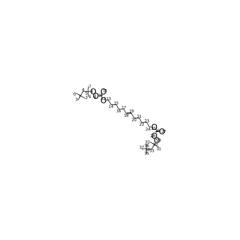 CC(C)(C)CC(C)(C)OOC(=O)OCCCCCC=CCCCCCOC(=O)OOC(C)(C)CC(C)(C)C